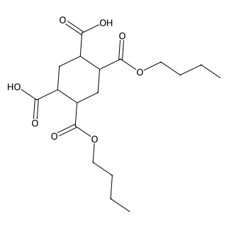 CCCCOC(=O)C1CC(C(=O)OCCCC)C(C(=O)O)CC1C(=O)O